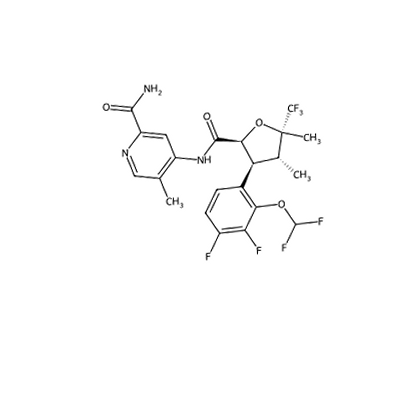 Cc1cnc(C(N)=O)cc1NC(=O)[C@H]1O[C@](C)(C(F)(F)F)[C@H](C)[C@H]1c1ccc(F)c(F)c1OC(F)F